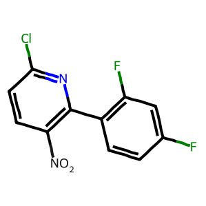 O=[N+]([O-])c1ccc(Cl)nc1-c1ccc(F)cc1F